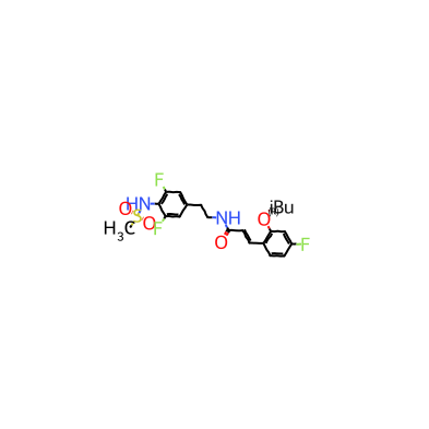 CC[C@@H](C)Oc1cc(F)ccc1C=CC(=O)NCCc1cc(F)c(NS(C)(=O)=O)c(F)c1